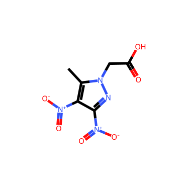 Cc1c([N+](=O)[O-])c([N+](=O)[O-])nn1CC(=O)O